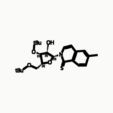 Cc1ccc2c(=S)n([C@@H]3O[C@H](COC(C)(C)C)[C@H](OC(C)(C)C)[C@@H]3O)ccc2c1